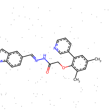 Cc1cc(C)c(OCC(=O)N/N=C/c2ccc3[nH]ccc3c2)c(-c2cccnc2)c1